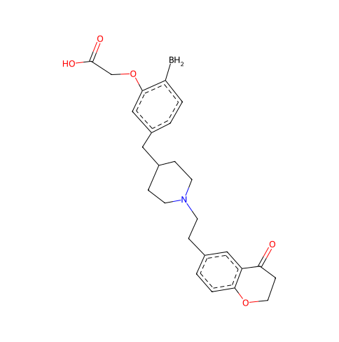 Bc1ccc(CC2CCN(CCc3ccc4c(c3)C(=O)CCO4)CC2)cc1OCC(=O)O